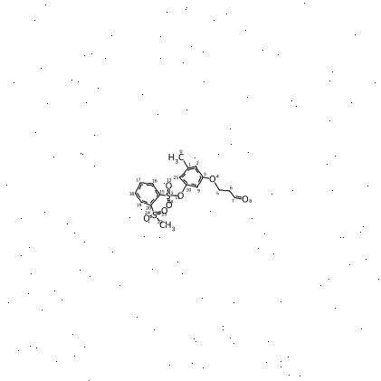 Cc1cc(OCCC=O)cc(OS(=O)(=O)c2ccccc2S(C)(=O)=O)c1